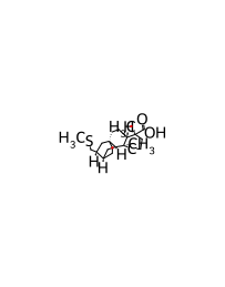 CSC[C@@H]1C[C@]23CC[C@H]1C[C@H]2[C@]1(C)CCC[C@@](C)(C(=O)O)[C@H]1CC3